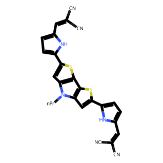 CCCn1c2cc(-c3ccc(C=C(C#N)C#N)[nH]3)sc2c2sc(-c3ccc(C=C(C#N)C#N)[nH]3)cc21